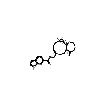 C=C1COCO[C@H]2[C@H]1CC/C(COC(=O)c1ccc3cc[nH]c3c1)=C\CC[C@@]1(C)O[C@@H]21